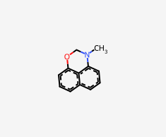 CN1COc2cccc3cccc1c23